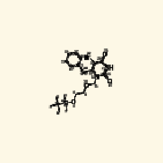 CC(C)(C)[Si](C)(C)OCCOCn1c([Se]c2ccccc2)c(Br)c(=O)[nH]c1=O